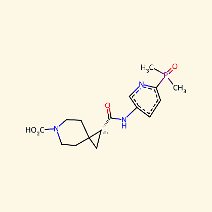 CP(C)(=O)c1ccc(NC(=O)[C@@H]2CC23CCN(C(=O)O)CC3)cn1